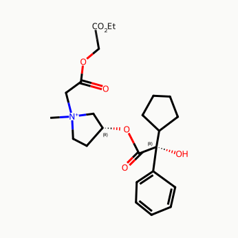 CCOC(=O)COC(=O)C[N+]1(C)CC[C@@H](OC(=O)[C@](O)(c2ccccc2)C2CCCC2)C1